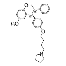 Oc1ccc2c(c1)[C@H](c1ccc(OCCCCN3CCCC3)cc1)[C@@H](c1ccccc1)CO2